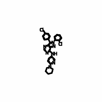 Clc1ccc(-c2c3ncnc(Nc4ccc(N5CCCCC5)nc4)c3nn2-c2ccccc2Cl)cc1